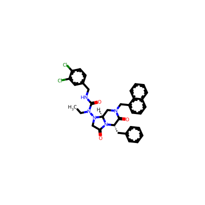 CCN(C(=O)NCc1ccc(Cl)c(Cl)c1)N1CC(=O)N2[C@@H](Cc3ccccc3)C(=O)N(Cc3cccc4ccccc34)C[C@@H]21